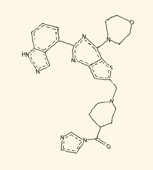 O=C(C1CCN(Cc2cc3nc(-c4cccc5[nH]ncc45)nc(N4CCOCC4)c3s2)CC1)n1ccnc1